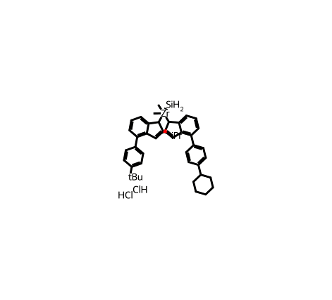 CC1=Cc2c(-c3ccc(C4CCCCC4)cc3)cccc2[CH]1[Zr]([CH3])([CH3])(=[SiH2])[CH]1C(C(C)C)=Cc2c(-c3ccc(C(C)(C)C)cc3)cccc21.Cl.Cl